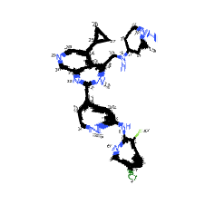 Fc1cc(Cl)cnc1Nc1cc(-c2nc(CNC3CCNCC3)c3c(C4CC4)cncc3n2)ccn1